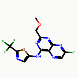 COCc1nc(Nc2cnc(C(F)(F)F)s2)c2ncc(Cl)nc2n1